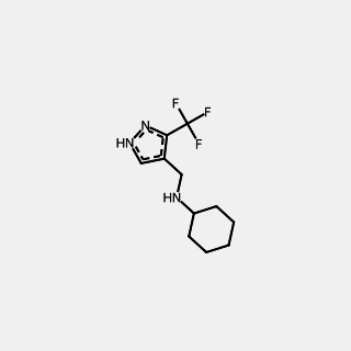 FC(F)(F)c1n[nH]cc1CNC1CCCCC1